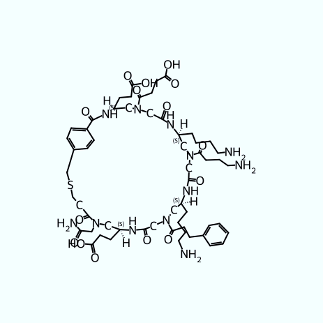 NCCCC[C@H]1CN(C(=O)CCc2ccccc2)CC(=O)N[C@@H](CCC(=O)O)CN(CC(N)=O)C(=O)CCSCc2ccc(cc2)C(=O)N[C@@H](CCC(=O)O)CN(C(=O)CCC(=O)O)CC(=O)N[C@@H](CCCCN)CN(C(=O)CCCN)CC(=O)N1